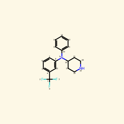 FC(F)(F)c1cccc(N(c2ccccc2)C2CCNCC2)c1